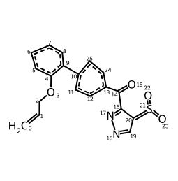 C=CCOc1ccccc1-c1ccc(C(=O)C2=NN=CC2=S(=O)=O)cc1